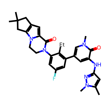 CCc1c(-c2cc(Nc3cc(C)n(C)n3)c(=O)n(C)c2)cc(F)cc1N1CCn2c(cc3c2CC(C)(C)C3)C1=O